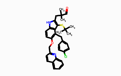 CC(C)(C=O)Cc1[nH]c2ccc(OCc3ccc4ccccc4n3)c(Cc3ccc(Cl)cc3)c2c1SC(C)(C)C